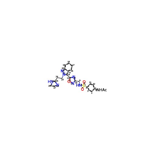 CC(=O)Nc1ccc(S(=O)(=O)NCc2noc(-c3c4ccccc4nn3CCc3ncc[nH]3)n2)cc1